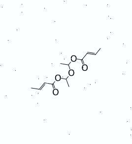 C/C=C/C(=O)OC(C)OC(C)OC(=O)/C=C/C